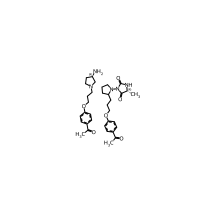 CC(=O)c1ccc(OCCCC2CCCN2N2C(=O)N[C@H](C)C2=O)cc1.CC(=O)c1ccc(OCCCN2CC[C@@H](N)C2)cc1